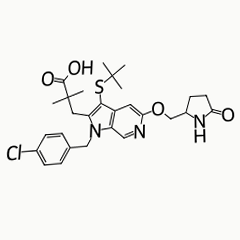 CC(C)(C)Sc1c(CC(C)(C)C(=O)O)n(Cc2ccc(Cl)cc2)c2cnc(OCC3CCC(=O)N3)cc12